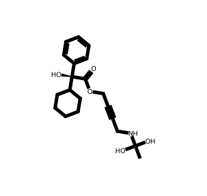 CC(O)(O)NCC#CCOC(=O)[C@@](O)(c1ccccc1)C1CCCCC1